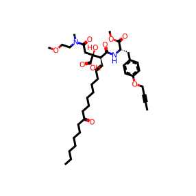 CC#CCOc1ccc(C[C@H](NC(=O)[C@@H](C=CCCCCCCC(=O)CCCCCCC)[C@@](O)(CC(=O)N(C)CCOC)C(=O)O)C(=O)OC)cc1